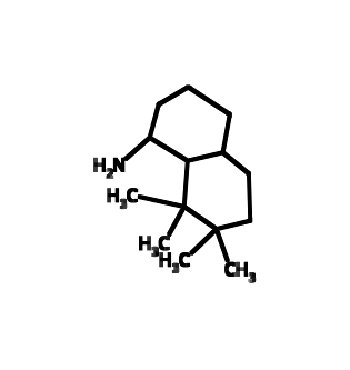 CC1(C)CCC2CCCC(N)C2C1(C)C